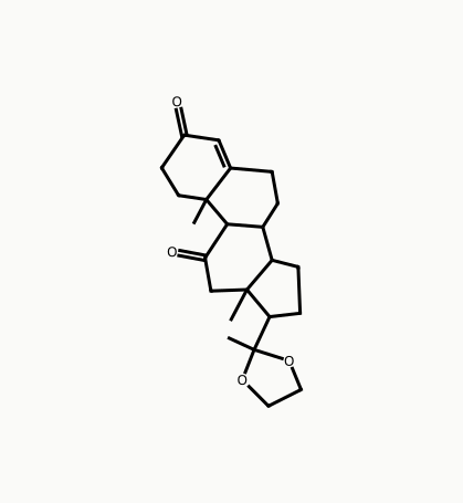 CC1(C2CCC3C4CCC5=CC(=O)CCC5(C)C4C(=O)CC32C)OCCO1